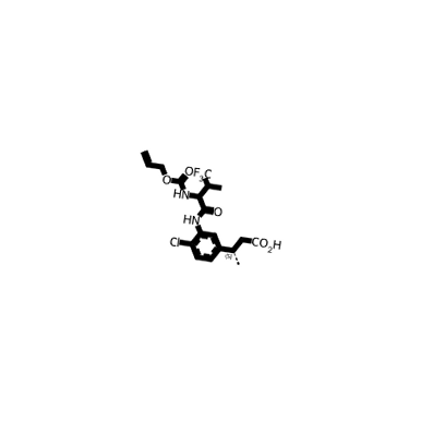 C=CCOC(=O)NC(C(=O)Nc1cc([C@@H](C)CC(=O)O)ccc1Cl)C(C)C(F)(F)F